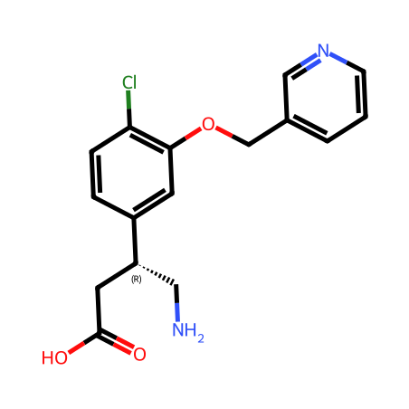 NC[C@H](CC(=O)O)c1ccc(Cl)c(OCc2cccnc2)c1